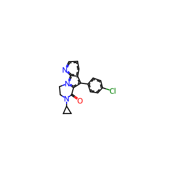 O=C1c2c(-c3ccc(Cl)cc3)c3cccnc3n2CCN1C1CC1